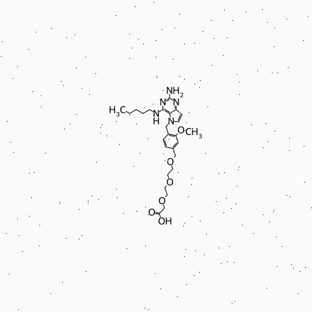 CCCCCNc1nc(N)nc2ccn(Cc3ccc(COCCOCCOCC(=O)O)cc3OC)c12